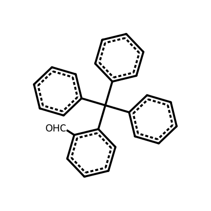 O=Cc1ccccc1C(c1ccccc1)(c1ccccc1)c1ccccc1